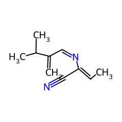 C=C(/C=N\C(C#N)=C/C)C(C)C